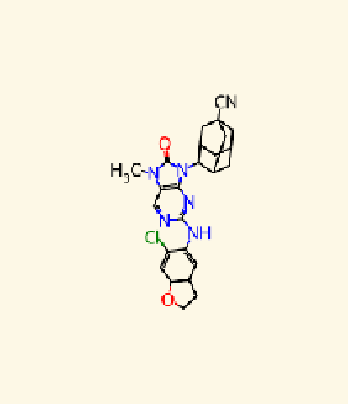 Cn1c(=O)n(C2C3CC4CC2CC(C#N)(C4)C3)c2nc(NC3=CC4CCOC4C=C3Cl)ncc21